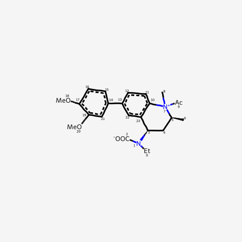 CCN(C(=O)[O-])[C@@H]1C[C@H](C)[N+](C)(C(C)=O)c2ccc(-c3ccc(OC)c(OC)c3)cc21